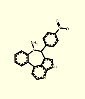 NN1c2ccccc2-c2ccnc3[nH]cc(c23)C1c1ccc([N+](=O)[O-])cc1